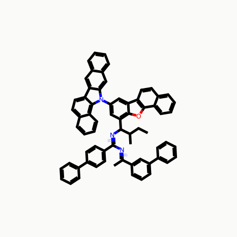 CCC(C)C(/N=C(\N=C(/C)c1cccc(-c2ccccc2)c1)c1ccc(-c2ccccc2)cc1)c1cc(-n2c3cc4ccccc4cc3c3ccc4ccccc4c32)cc2c1oc1c3ccccc3ccc21